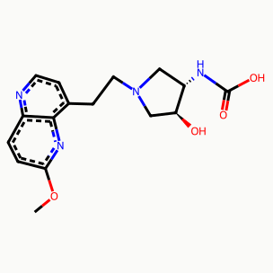 COc1ccc2nccc(CCN3C[C@H](NC(=O)O)[C@@H](O)C3)c2n1